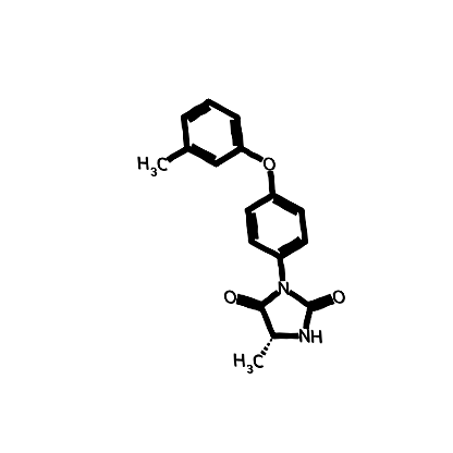 Cc1cccc(Oc2ccc(N3C(=O)N[C@H](C)C3=O)cc2)c1